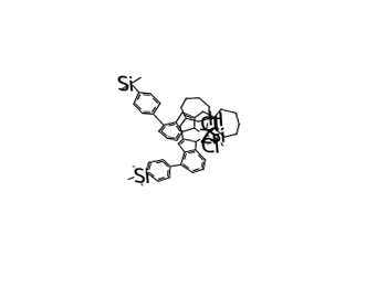 C[SiH](C)[Zr]([Cl])([Cl])([CH]1C(CC2CCCCCC2)=Cc2c(-c3ccc([Si](C)(C)C)cc3)cccc21)[CH]1C(CC2CCCCCC2)=Cc2c(-c3ccc([Si](C)(C)C)cc3)cccc21